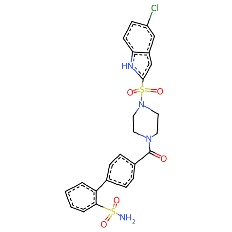 NS(=O)(=O)c1ccccc1-c1ccc(C(=O)N2CCN(S(=O)(=O)c3cc4cc(Cl)ccc4[nH]3)CC2)cc1